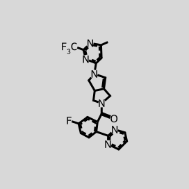 Cc1cc(N2C=C3CN(C(=O)c4cc(F)ccc4-c4ncccn4)CC3C2)nc(C(F)(F)F)n1